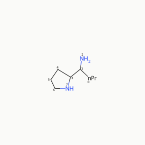 CCCC(N)C1CCCN1